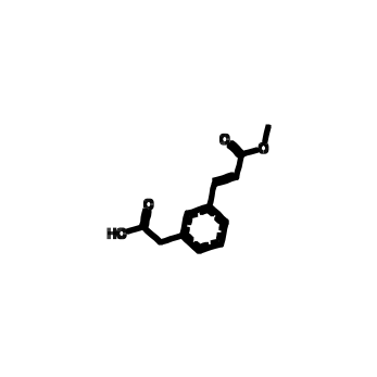 COC(=O)C=Cc1cccc(CC(=O)O)c1